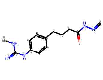 C=NNC(=O)CCCc1ccc(NC(=N)NCC)cc1